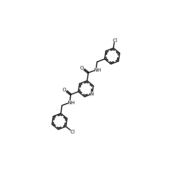 O=C(NCc1cccc(Cl)c1)c1cncc(C(=O)NCc2cccc(Cl)c2)c1